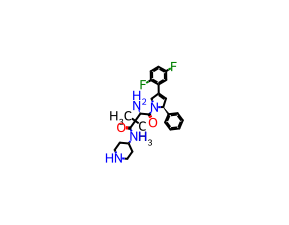 CC(C)(C(=O)NC1CCNCC1)[C@H](N)C(=O)N1CC(c2cc(F)ccc2F)=C[C@H]1c1ccccc1